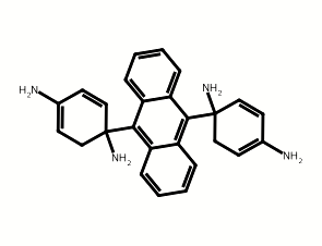 NC1=CCC(N)(c2c3ccccc3c(C3(N)C=CC(N)=CC3)c3ccccc23)C=C1